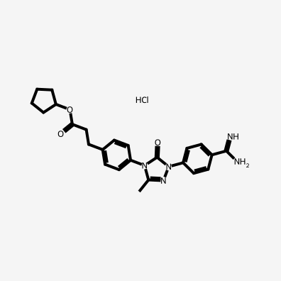 Cc1nn(-c2ccc(C(=N)N)cc2)c(=O)n1-c1ccc(CCC(=O)OC2CCCC2)cc1.Cl